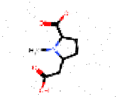 CN1C(CC(=O)O)CCC1C(=O)O